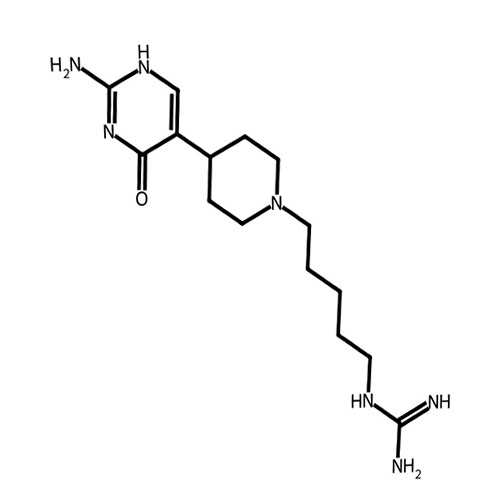 N=C(N)NCCCCCN1CCC(c2c[nH]c(N)nc2=O)CC1